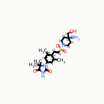 Cc1cc(N2C(=O)NC(=O)C2(C)C)cc(C)c1/C=C/S(=O)(=O)N1CCC(N)(CO)CC1